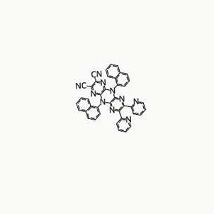 N#Cc1nc2c(nc1C#N)N(c1cccc3ccccc13)c1nc(-c3ccccn3)c(-c3ccccn3)nc1N2c1cccc2ccccc12